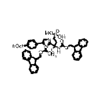 CCCCCCCCc1ccc(-c2cnc([C@](C)(CCP(=O)(O)O)NC(=O)OCC3c4ccccc4-c4ccccc43)n2C(=O)OCC2c3ccccc3-c3ccccc32)cc1